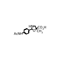 CC(=O)Nc1ccc(C2NCC(C)(C(=O)O)O2)cc1